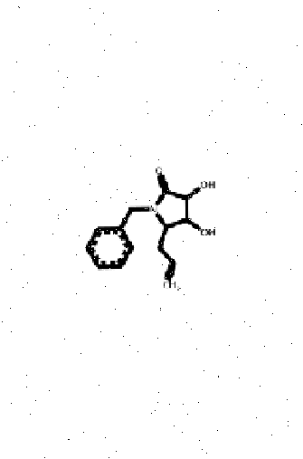 C=CCC1C(O)C(O)C(=O)N1Cc1ccccc1